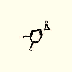 C1CO1.Cc1ccccc1O